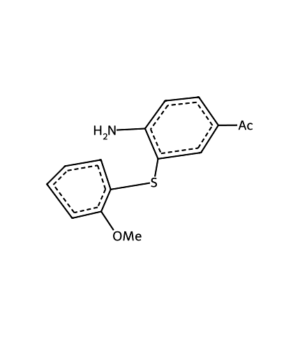 COc1ccccc1Sc1cc(C(C)=O)ccc1N